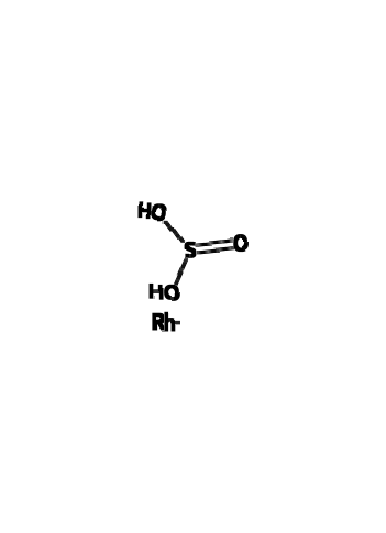 O=S(O)O.[Rh]